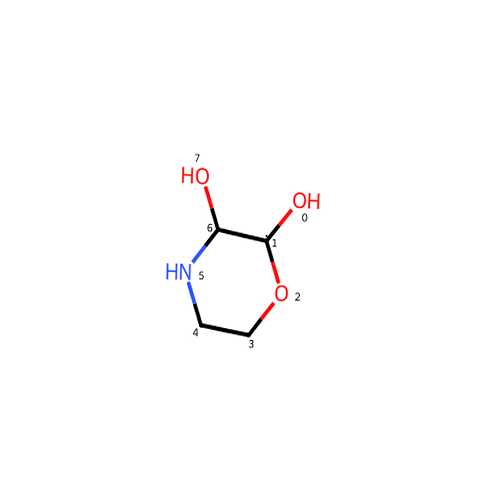 O[C]1OCCNC1O